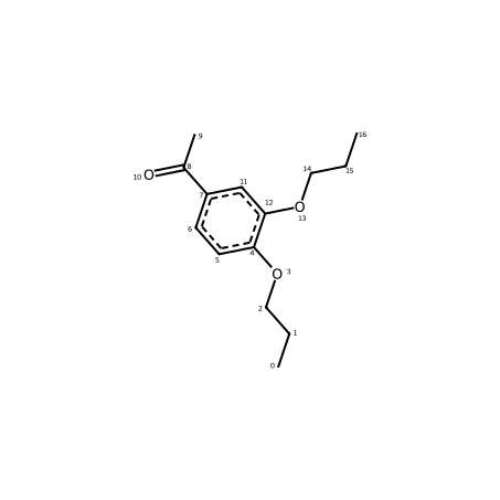 CCCOc1ccc(C(C)=O)cc1OCCC